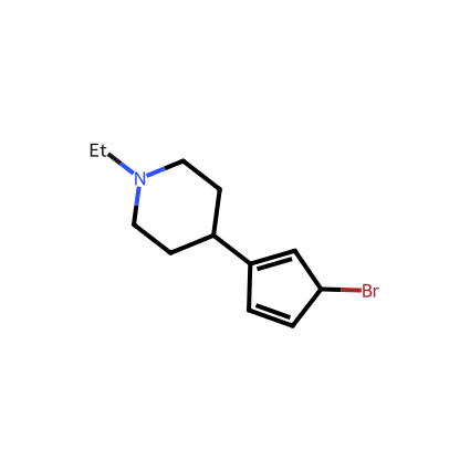 CCN1CCC(C2=CC(Br)C=C2)CC1